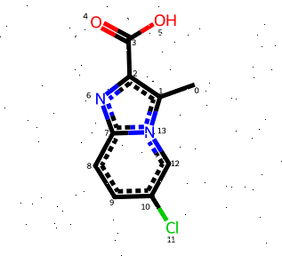 Cc1c(C(=O)O)nc2ccc(Cl)cn12